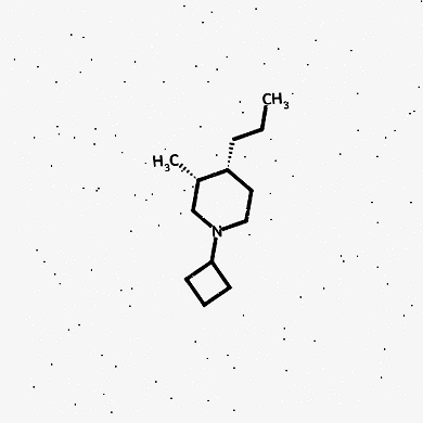 CCC[C@@H]1CCN(C2CCC2)C[C@@H]1C